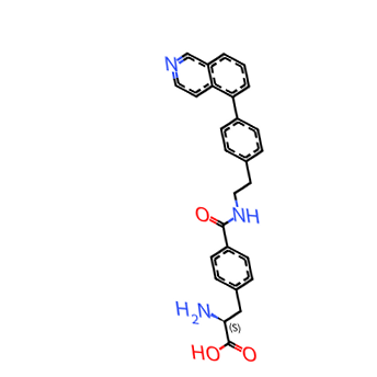 N[C@@H](Cc1ccc(C(=O)NCCc2ccc(-c3cccc4cnccc34)cc2)cc1)C(=O)O